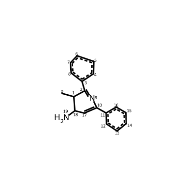 CC1C(c2ccccc2)=NC(c2ccccc2)=CC1N